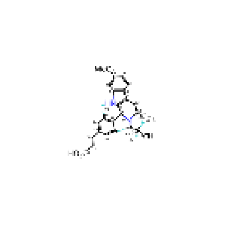 COc1ccc2c3c([nH]c2c1)C(c1c(F)cc(/C=C/C(=O)O)cc1F)N(CC(C)(F)F)C(C)C3